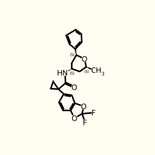 C[C@H]1C[C@H](NC(=O)C2(c3ccc4c(c3)OC(F)(F)O4)CC2)C[C@@H](c2ccccc2)O1